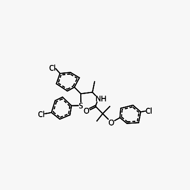 CC(NC(=O)C(C)(C)Oc1ccc(Cl)cc1)C(Sc1ccc(Cl)cc1)c1ccc(Cl)cc1